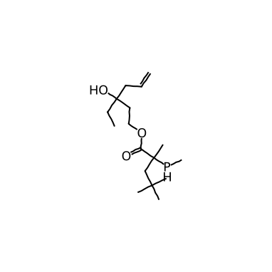 C=CCC(O)(CC)CCOC(=O)C(C)(CC(C)(C)C)PC